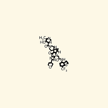 Cc1ncnc(C(=O)N2CCC3(CC2)c2c(n(CC(=O)Nc4ccc(C(F)(F)F)c5sccc45)c4nc(C5=CCOCC5)nn4c2=O)[C@H]2C[C@H]23)c1O